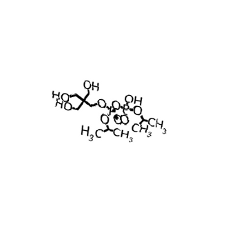 CC(C)OP(=O)(O)OP(=O)(OCC(CO)(CO)CO)OC(C)C